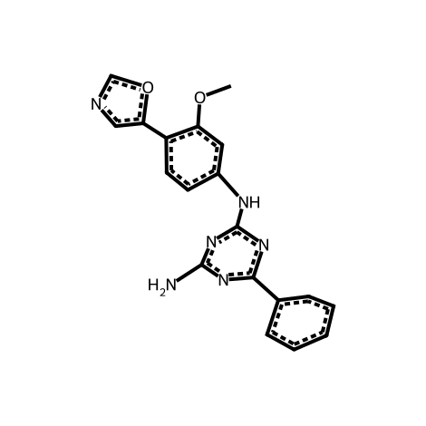 COc1cc(Nc2nc(N)nc(-c3ccccc3)n2)ccc1-c1cnco1